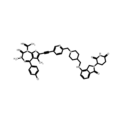 CC(=N)N1C(=N)[C@H](C)N=C(c2ccc(Cl)cc2)c2c1sc(C#Cc1ccc(CN3CCC(CNc4cccc5c4CN(C4CCC(=O)NC4=O)C5=O)CC3)nc1)c2C